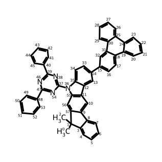 CC1(C)c2ccccc2-c2cc3c4cc(-c5ccc6c7ccccc7c7ccccc7c6c5)ccc4n(-c4nc(-c5ccccc5)nc(-c5ccccc5)n4)c3cc21